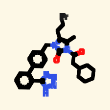 Cc1c(CCC(C)C)n(Cc2ccc(-c3ccccc3-c3nnn[nH]3)cc2)c(=O)n1C(=O)CC1CCCCC1